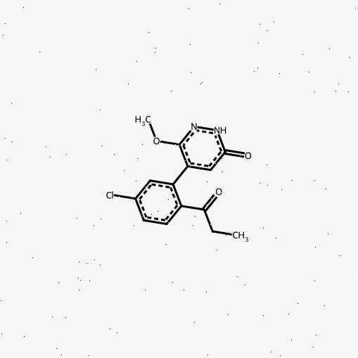 CCC(=O)c1ccc(Cl)cc1-c1cc(=O)[nH]nc1OC